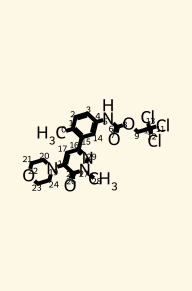 Cc1ccc(NC(=O)OCC(Cl)(Cl)Cl)cc1-c1cc(N2CCOCC2)c(=O)n(C)n1